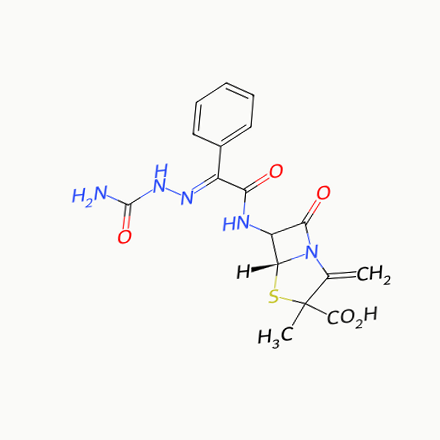 C=C1N2C(=O)C(NC(=O)C(=NNC(N)=O)c3ccccc3)[C@H]2SC1(C)C(=O)O